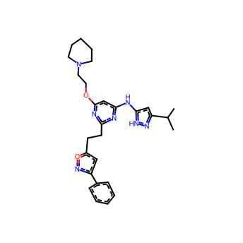 CC(C)c1cc(Nc2cc(OCCN3CCCCC3)nc(CCc3cc(-c4ccccc4)no3)n2)[nH]n1